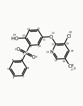 O=S(=O)(c1ccccc1)c1cc(Oc2ncc(C(F)(F)F)cc2Cl)ccc1O